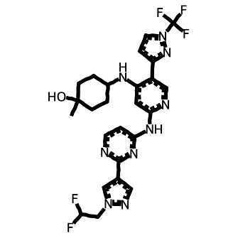 CC1(O)CCC(Nc2cc(Nc3ccnc(-c4cnn(CC(F)F)c4)n3)ncc2-c2ccn(C(F)(F)F)n2)CC1